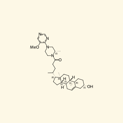 COc1cncnc1N1CCN(C(=O)CCC(C)[C@H]2CC[C@H]3[C@@H]4CC=C5C[C@@H](O)CC[C@]5(C)[C@H]4CC[C@]23C)[C@@H](C)C1